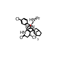 CC(C)NC[C@@H](C(=O)N1CC2CCC(C1)N2c1ncnc2c1[C@@H](C(F)(F)F)CC(=O)N2)c1ccc(Cl)cc1